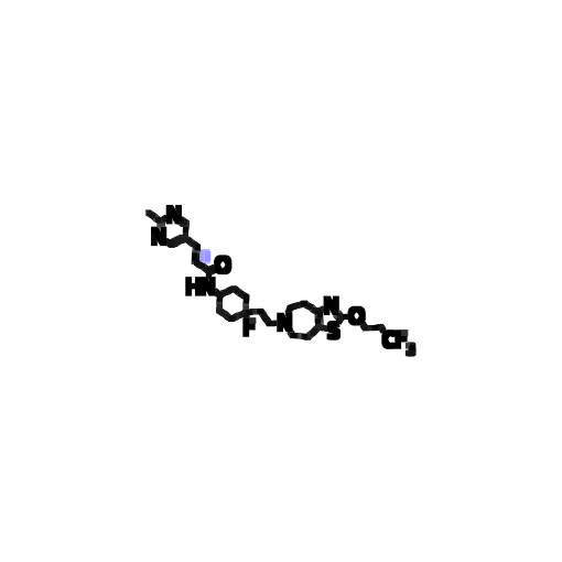 Cc1ncc(/C=C/C(=O)NC2CCC(F)(CCN3CCc4nc(OCCC(F)(F)F)sc4CC3)CC2)cn1